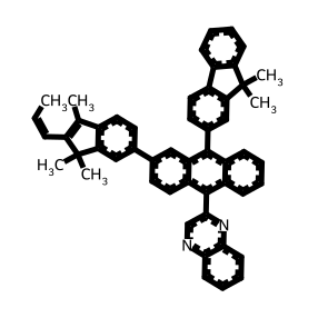 C/C=C\C1=C(C)c2ccc(-c3ccc4c(-c5cnc6ccccc6n5)c5ccccc5c(-c5ccc6c(c5)C(C)(C)c5ccccc5-6)c4c3)cc2C1(C)C